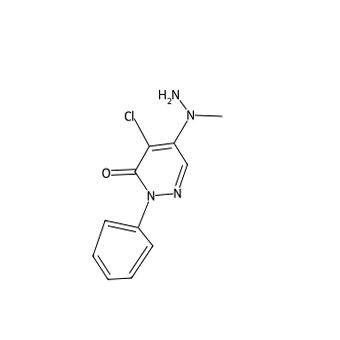 CN(N)c1cnn(-c2ccccc2)c(=O)c1Cl